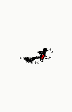 CC#CCn1c(N2CCC[C@@H](N)C2)nc2c1c(=O)n(Cc1c(CCOCCn3cc(CN(CCCCCC)CC(O)C(O)C(O)C(O)CO)nn3)cc(Cl)cc1C(=O)O)c(=O)n2C